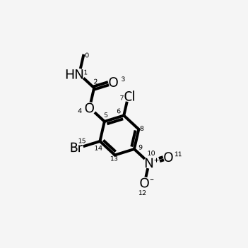 CNC(=O)Oc1c(Cl)cc([N+](=O)[O-])cc1Br